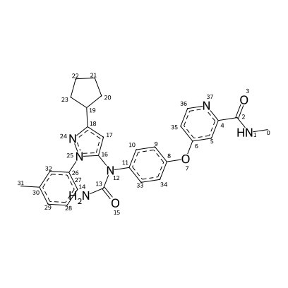 CNC(=O)c1cc(Oc2ccc(N(C(N)=O)c3cc(C4CCCC4)nn3-c3cccc(C)c3)cc2)ccn1